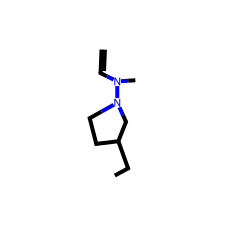 C=CN(C)N1CCC(CC)C1